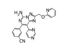 N#Cc1cccc(-c2nc(N)n3nc(COc4ccccn4)nc3c2-c2ccncn2)c1